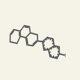 Ic1ccc2cc(C3=CC=C4C5=C(C=CCC5)C=CC4C3)ccc2c1